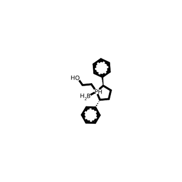 B[PH]1(CCO)[C@@H](c2ccccc2)CC[C@@H]1c1ccccc1